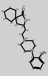 CC(C)c1ccccc1N1CCN(CCC2CC3(CCCCC3)C(=O)O2)CC1